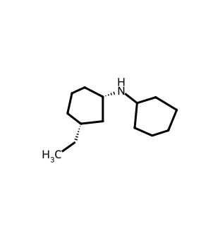 CC[C@@H]1CCC[C@H](NC2CCCCC2)C1